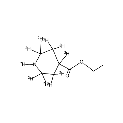 [2H]N1C([2H])([2H])C([2H])([2H])C([2H])(C(=O)OCC)C([2H])([2H])C1([2H])[2H]